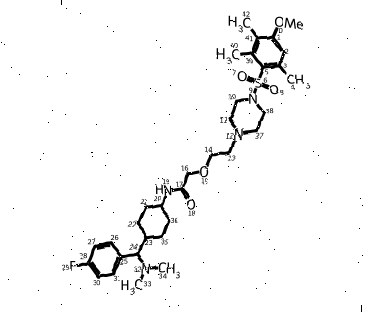 COc1cc(C)c(S(=O)(=O)N2CCN(CCOCC(=O)NC3CCC(C(c4ccc(F)cc4)N(C)C)CC3)CC2)c(C)c1C